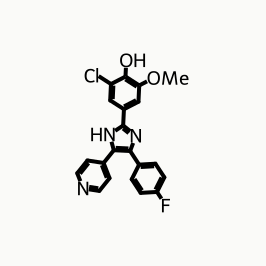 COc1cc(-c2nc(-c3ccc(F)cc3)c(-c3ccncc3)[nH]2)cc(Cl)c1O